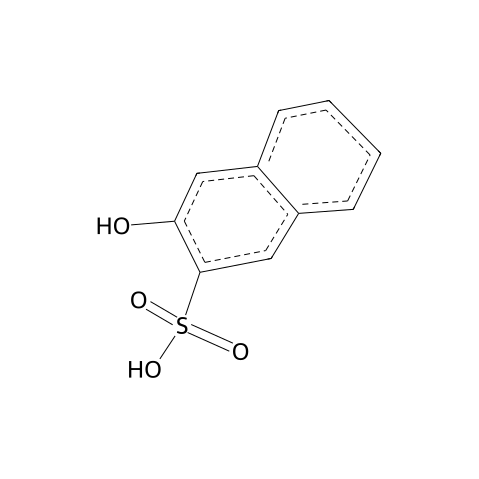 O=S(=O)(O)c1cc2ccccc2cc1O